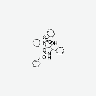 O=C(NC(c1ccccc1)[C@H](O)CN(C1CCCCC1)S(=O)(=O)c1ccccc1)OCc1ccccc1